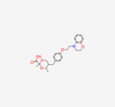 CC1OC(C)(C(=O)O)OCC1Cc1ccc(OCCN2CCOc3ccccc32)cc1